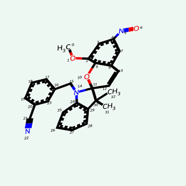 COc1cc(N=O)cc2c1OC1(C=C2)N(Cc2cccc(C#N)c2)c2ccccc2C1(C)C